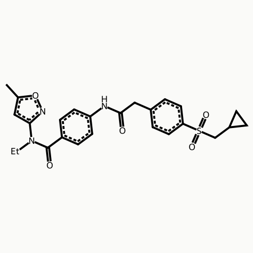 CCN(C(=O)c1ccc(NC(=O)Cc2ccc(S(=O)(=O)CC3CC3)cc2)cc1)c1cc(C)on1